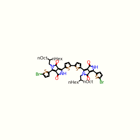 CCCCCCCCC(CCCCCC)CN1C(=O)C2=C(c3ccc(-c4ccc(C5=C6C(=O)NC(c7ccc(Br)s7)=C6C(=O)N5CC(CCCCCC)CCCCCCCC)s4)s3)NC(=O)C2=C1c1ccc(Br)s1